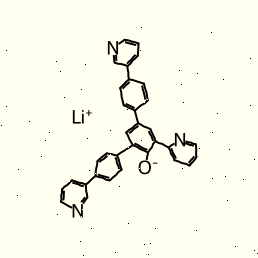 [Li+].[O-]c1c(-c2ccc(-c3cccnc3)cc2)cc(-c2ccc(-c3cccnc3)cc2)cc1-c1ccccn1